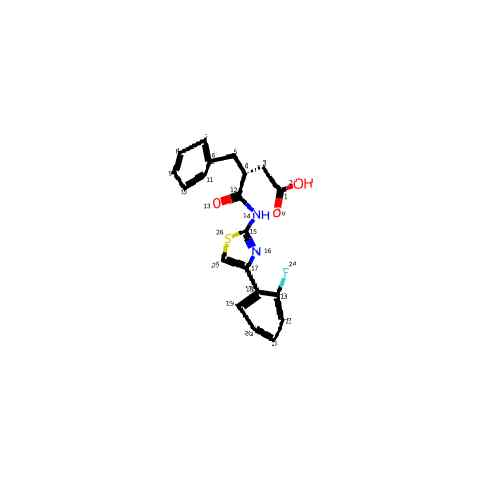 O=C(O)C[C@@H](Cc1ccccc1)C(=O)Nc1nc(-c2ccccc2F)cs1